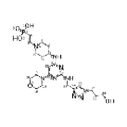 O=P(O)(O)CCN1CCC(Nc2cc(N3CCOCC3)nc(NCc3cn(CCCO)nn3)n2)CC1